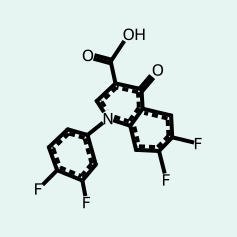 O=C(O)c1cn(-c2ccc(F)c(F)c2)c2cc(F)c(F)cc2c1=O